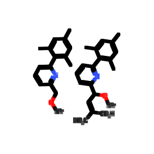 CCCOC(C=C(C(=O)O)C(=O)O)c1cccc(-c2c(C)cc(C)cc2C)n1.CCCOCc1cccc(-c2c(C)cc(C)cc2C)n1